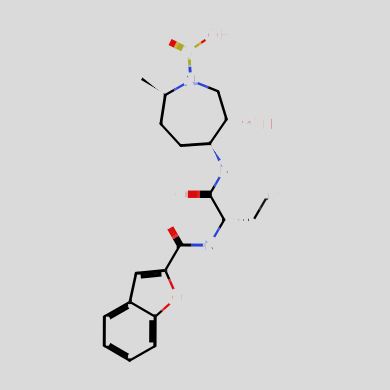 CC(C)C[C@H](NC(=O)c1cc2ccccc2o1)C(=O)N[C@H]1CC[C@@H](C)N(S(=O)O)C[C@@H]1O